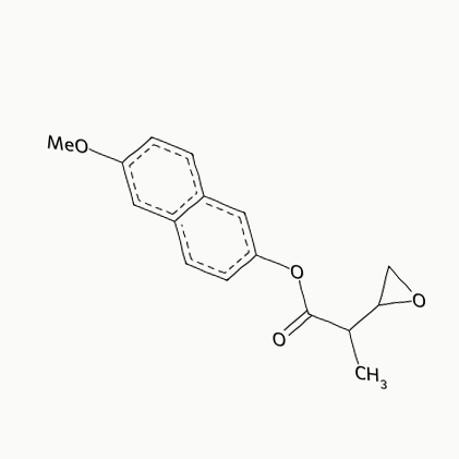 COc1ccc2cc(OC(=O)C(C)C3CO3)ccc2c1